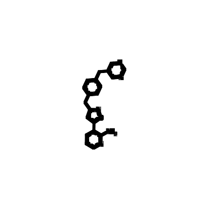 Nc1ncccc1-c1cc(Cc2ccc(Cc3cncnc3)cc2)no1